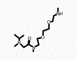 CNCCOCCOCCN(C)C(=O)CN(C)C(C)C